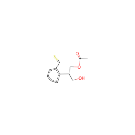 CC(=O)OC[C@H](CO)c1ccccc1C=S